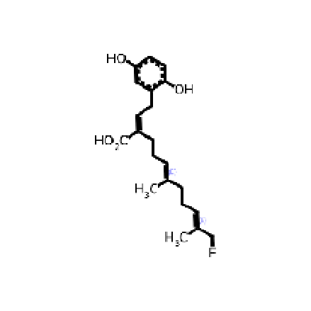 C/C(=C\CC/C(C)=C/CCC(=CCc1cc(O)ccc1O)C(=O)O)CF